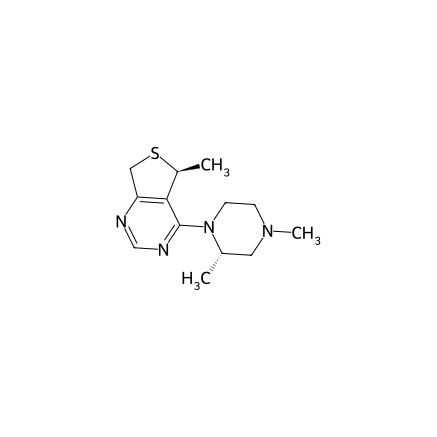 C[C@@H]1SCc2ncnc(N3CCN(C)C[C@@H]3C)c21